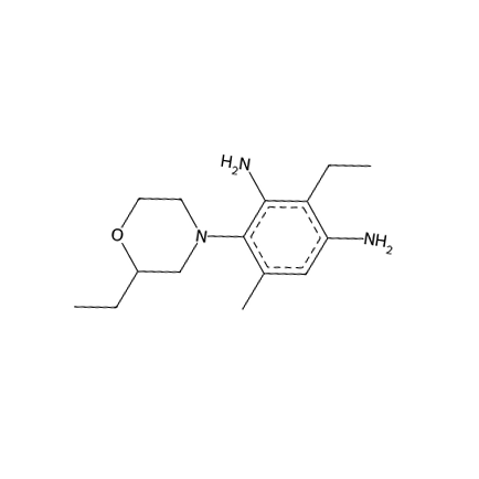 CCc1c(N)cc(C)c(N2CCOC(CC)C2)c1N